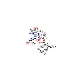 COc1cc(C(=O)O[C@H](C(=O)N/C(C(=O)N/C(=C/O)C(C)=O)=C2\[C@@H](OC(C)=O)[C@H](O)[C@@H]3CN23)[C@]2(C)CO2)c2cccc(C)c2c1